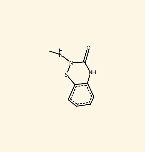 CNN1Sc2ccccc2NC1=O